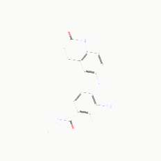 CNC(=O)c1ccc(Nc2ccc3c(c2)CCC(=O)N3)c(N)c1C